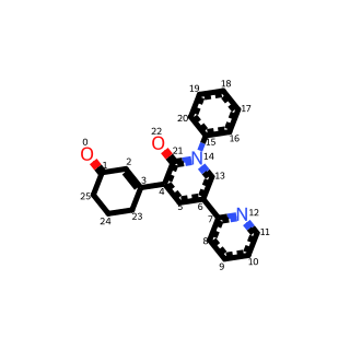 O=C1C=C(c2cc(-c3ccccn3)cn(-c3ccccc3)c2=O)CCC1